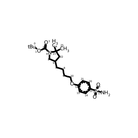 CC(C)(C)OC(=O)N1CC(CCCCOc2ccc(S(N)(=O)=O)cc2)CC1(C)C